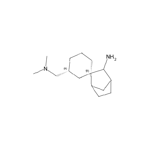 CN(C)C[C@@H]1CCC[C@@]2(C1)C1CCC(C1)C2N